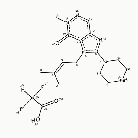 CC(C)=CCn1c(N2CCNCC2)nc2cnn(C)c(=O)c21.O=C(O)C(F)(F)F